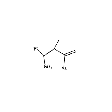 C=C(CC)C(C)C(N)CC